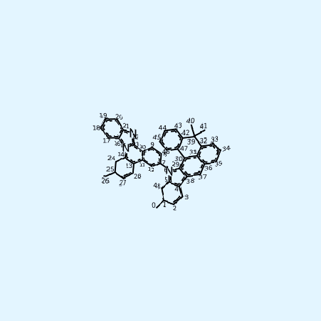 CC1C=Cc2c(n(-c3ccc4c(c3)c3c(n5c6ccccc6nc45)CC(C)C=C3)c3c4c5c(cccc5cc23)C(C)(C)c2ccccc2-4)C1